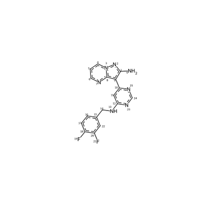 Nc1nn2cccnc2c1-c1cc(NCc2ccc(F)c(F)c2)ncn1